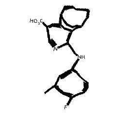 Cc1cc(Nc2ncc(C(=O)O)c3c2C2CCC3CC2)ccc1F